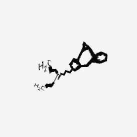 C=CCN(CC=C)CCCc1ccc2c(c1)Cc1ccccc1C1CC21